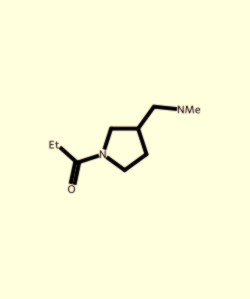 CCC(=O)N1CCC(CNC)C1